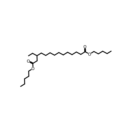 CCCCCOC(=O)CCCCCCCCCCC(CC)CC(=O)OCCCCC